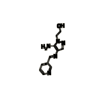 Nc1c(N=Cc2cccnc2)cnn1CCO